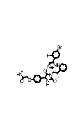 C[C@@H](c1ccccc1)[C@@H](c1ncc(-c2ccc(Br)cc2F)[nH]1)N1C(=O)NC(c2ccc(OCC(=O)N(C)C)cc2)C1=O